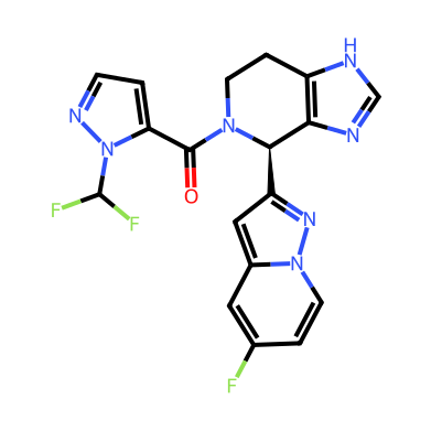 O=C(c1ccnn1C(F)F)N1CCc2[nH]cnc2[C@H]1c1cc2cc(F)ccn2n1